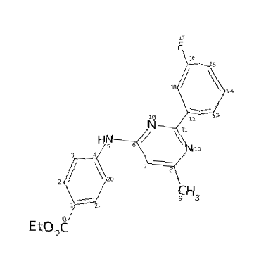 CCOC(=O)c1ccc(Nc2cc(C)nc(-c3cccc(F)c3)n2)cc1